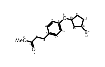 COC(=O)CCc1ccc(OC2CCC(Br)C2)cc1